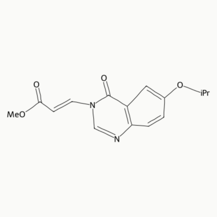 COC(=O)C=Cn1cnc2ccc(OC(C)C)cc2c1=O